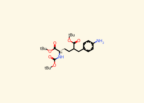 CC(C)(C)OC(=O)N[C@@H](CCC(Cc1ccc(N)cc1)C(=O)OC(C)(C)C)C(=O)OC(C)(C)C